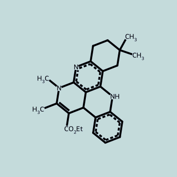 CCOC(=O)C1=C(C)N(C)c2nc3c(c4c2C1c1ccccc1N4)CC(C)(C)CC3